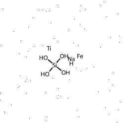 O[Si](O)(O)O.[Fe].[NaH].[Ti]